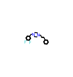 Fc1ccc(CN2CCN(CC=Cc3ccccc3)CC2)cc1F